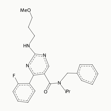 COCCCNc1ncc(C(=O)N(Cc2ccccc2)C(C)C)c(-c2ccccc2F)n1